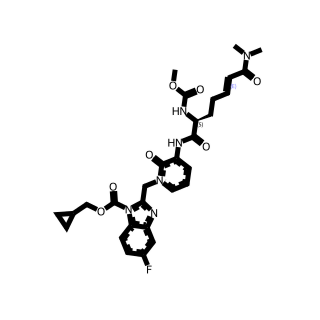 COC(=O)N[C@@H](CC/C=C/C(=O)N(C)C)C(=O)Nc1cccn(Cc2nc3cc(F)ccc3n2C(=O)OCC2CC2)c1=O